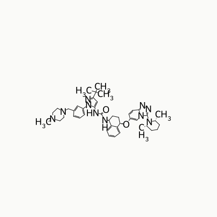 C[C@@H]1CCC[C@H](C)N1c1nnc2ccc(O[C@@H]3CC[C@H](NC(=O)Nc4cc(C(C)(C)C)nn4-c4cccc(CN5CCN(C)CC5)c4)c4ccccc43)cn12